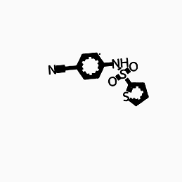 N#Cc1c[c]c(NS(=O)(=O)c2cccs2)cc1